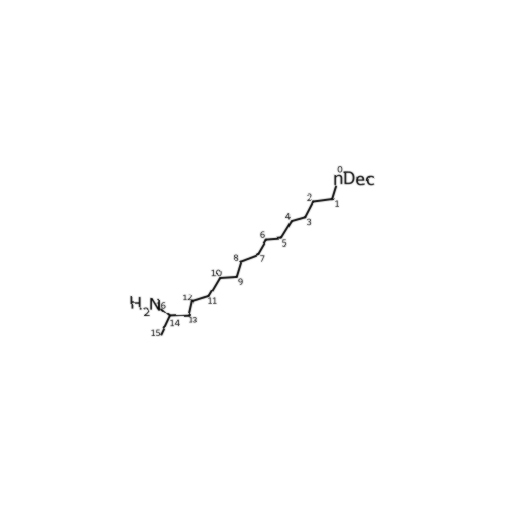 CCCCCCCCCCCCCCCCCCCCCCCC(C)N